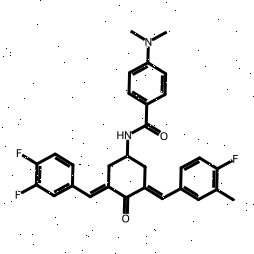 Cc1cc(/C=C2\CC(NC(=O)c3ccc(N(C)C)cc3)C/C(=C\c3ccc(F)c(F)c3)C2=O)ccc1F